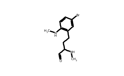 CNc1ccc(Br)cc1CCC(C=O)NC